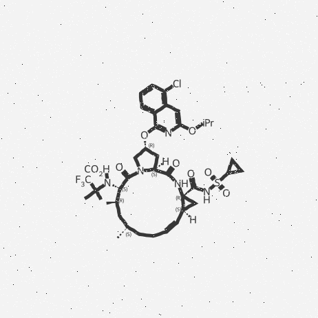 CC(C)Oc1cc2c(Cl)cccc2c(O[C@@H]2C[C@H]3C(=O)N[C@]4(C(=O)NS(=O)(=O)C5CC5)C[C@H]4C=CCC[C@H](C)C[C@@H](C)[C@H](N(C(=O)O)C(C)(C)C(F)(F)F)C(=O)N3C2)n1